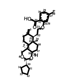 C=C1CCC2[C@]3(C)CO[C@@H](C4CCCC4)O[C@@H]3CC[C@@]2(C)[C@@H]1CCOc1cc(F)ccc1C(=O)O